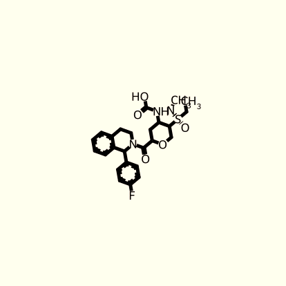 CCS(=O)(=NC)C1COC(C(=O)N2CCc3ccccc3C2c2ccc(F)cc2)CC1NC(=O)O